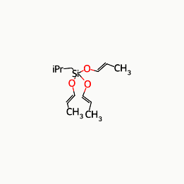 CC=CO[Si](CC(C)C)(OC=CC)OC=CC